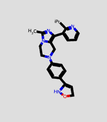 Cc1nc(-c2cccnc2C(C)C)c2n1CCN(c1ccc(C3=CCON3)cc1)C2